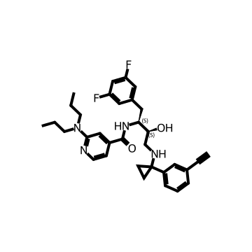 C#Cc1cccc(C2(NC[C@H](O)[C@H](Cc3cc(F)cc(F)c3)NC(=O)c3ccnc(N(CCC)CCC)c3)CC2)c1